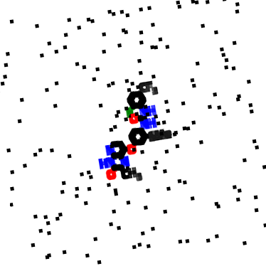 CSc1cc(Oc2ccnc3[nH]c(=O)c(C)nc23)ccc1NC(=O)Nc1cc(C(F)(F)F)ccc1F